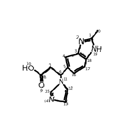 Cc1nc2cc(C(CC(=O)O)n3ccnc3)ccc2[nH]1